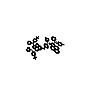 Cc1ccc(N(c2ccc(C)cc2)c2cc(N(c3ccc(C)cc3)c3ccc(Cc4cc5ccc6c(N(c7ccccc7)c7ccc(C(C)(C)C)cc7)cc(N(c7ccccc7)c7ccc(C(C)(C)C)cc7)c7ccc(c4)c5c67)cc3)c3ccc4cccc5ccc2c3c54)cc1